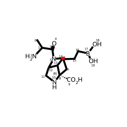 CC(N)C(=O)N1CC[C@@]2(C(=O)O)NCC1C2CCCB(O)O